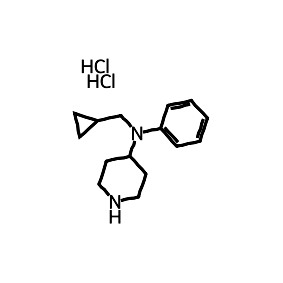 Cl.Cl.c1ccc(N(CC2CC2)C2CCNCC2)cc1